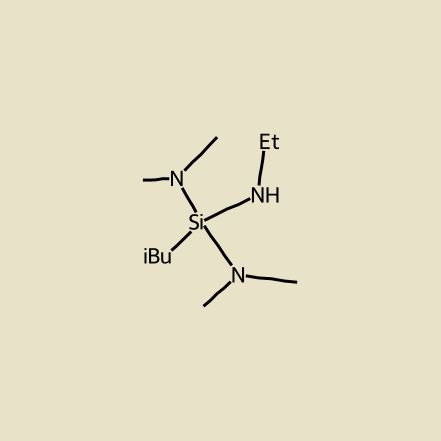 CCN[Si](C(C)CC)(N(C)C)N(C)C